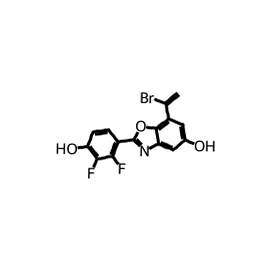 C=C(Br)c1cc(O)cc2nc(-c3ccc(O)c(F)c3F)oc12